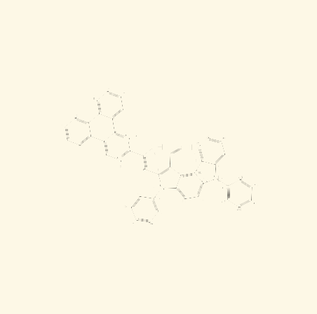 C=Cc1c(/C=C(\C)c2ncc3c4ccccc4c4ccccc4c3n2)n(-c2ccccc2)c2ccc3c(c4ccccc4n3-c3ccccc3)c12